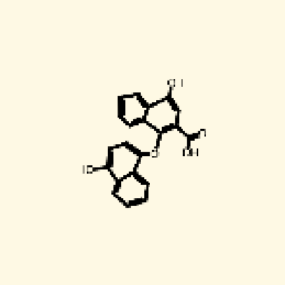 O=C(O)c1cc(O)c2ccccc2c1Oc1ccc(O)c2ccccc12